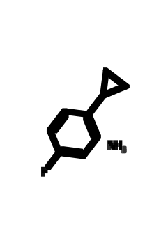 Fc1ccc(C2CC2)cc1.N